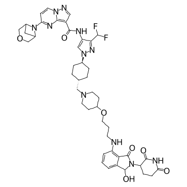 O=C1CCC(N2C(=O)c3c(NCCCOC4CCN(C[C@H]5CC[C@H](n6cc(NC(=O)c7cnn8ccc(N9C%10COCC9C%10)nc78)c(C(F)F)n6)CC5)CC4)cccc3C2O)C(=O)N1